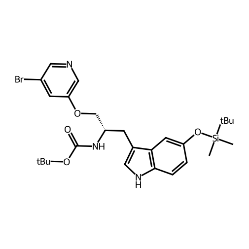 CC(C)(C)OC(=O)N[C@H](COc1cncc(Br)c1)Cc1c[nH]c2ccc(O[Si](C)(C)C(C)(C)C)cc12